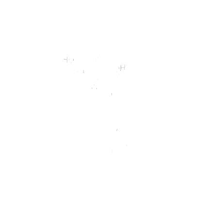 CC(=O)CCCCO[C@@H]1OC(C)[C@H](O)C[C@@H]1O